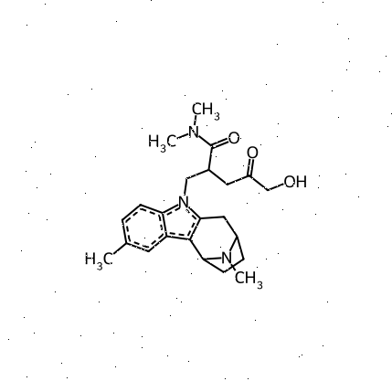 Cc1ccc2c(c1)c1c(n2CC(CC(=O)CO)C(=O)N(C)C)CC2CCC1N2C